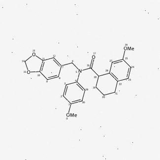 COc1ccc(N(Cc2ccc3c(c2)OCO3)C(=O)C2CCCc3ccc(OC)cc32)cc1